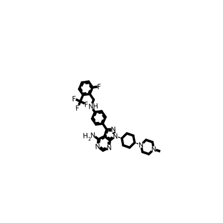 CN1CCN([C@H]2CC[C@@H](n3nc(-c4ccc(NCc5c(F)cccc5C(F)(F)F)cc4)c4c(N)ncnc43)CC2)CC1